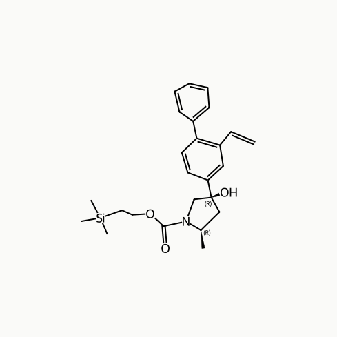 C=Cc1cc([C@]2(O)C[C@@H](C)N(C(=O)OCC[Si](C)(C)C)C2)ccc1-c1ccccc1